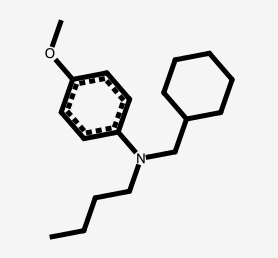 CCCCN(CC1CCCCC1)c1ccc(OC)cc1